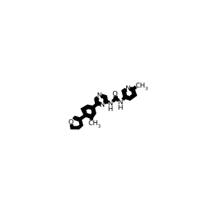 Cc1ccc(NC(=O)Nc2cncc(-c3ccc(C4=COCCC4)c(C)c3)n2)cn1